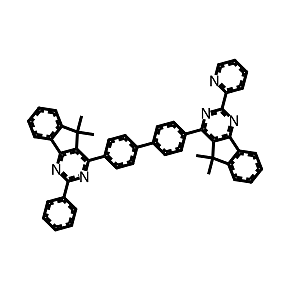 CC1(C)c2ccccc2-c2nc(-c3ccccc3)nc(-c3ccc(-c4ccc(-c5nc(-c6ccccn6)nc6c5C(C)(C)c5ccccc5-6)cc4)cc3)c21